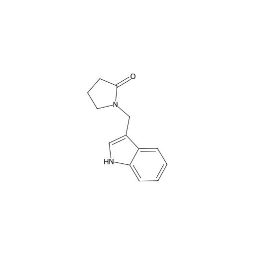 O=C1CCCN1Cc1c[nH]c2ccccc12